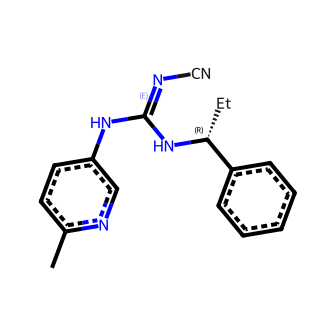 CC[C@@H](N/C(=N\C#N)Nc1ccc(C)nc1)c1ccccc1